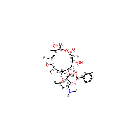 CC/C1=C\[C@](C)(O)[C@@H](CC)OC(=O)[C@H](C)[C@@H](O)[C@H](C)[C@@H](OC2O[C@H](C)C[C@H](N(C)C)[C@H]2OC(=O)c2ccccc2)[C@@](C)(OC)C[C@@H](C)C1=O